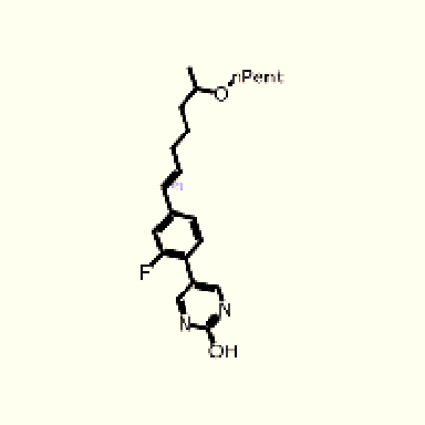 CCCCCOC(C)CCC/C=C/c1ccc(-c2cnc(O)nc2)c(F)c1